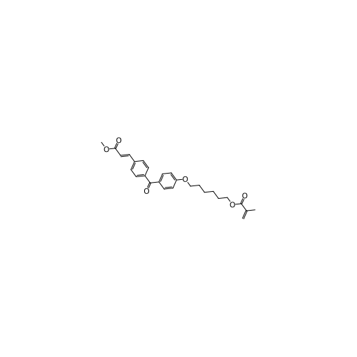 C=C(C)C(=O)OCCCCCCOc1ccc(C(=O)c2ccc(/C=C/C(=O)OC)cc2)cc1